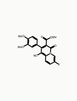 COC(=O)c1c(-c2ccc(OC)c(OC)c2)c(C#N)c2ccc(F)cn2c1=O